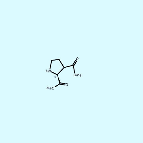 COC(=O)C1CCN[C@@H]1C(=O)OC